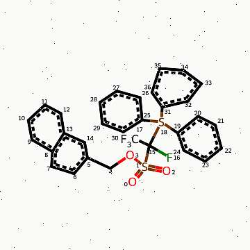 O=S(=O)(OCc1ccc2ccccc2c1)C(F)(C(F)(F)F)S(c1ccccc1)(c1ccccc1)c1ccccc1